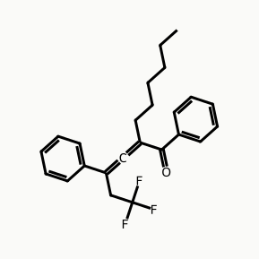 CCCCCCC(=C=C(CC(F)(F)F)c1ccccc1)C(=O)c1ccccc1